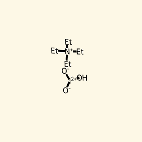 CC[N+](CC)(CC)CC.[O-][I+2]([O-])O